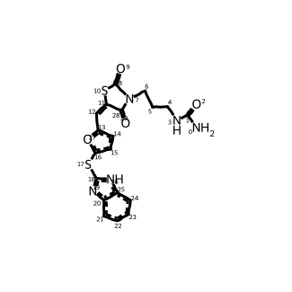 NC(=O)NCCCN1C(=O)S/C(=C/c2ccc(Sc3nc4ccccc4[nH]3)o2)C1=O